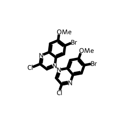 COc1cc2nc(Cl)cnc2cc1Br.COc1cc2ncc(Cl)nc2cc1Br